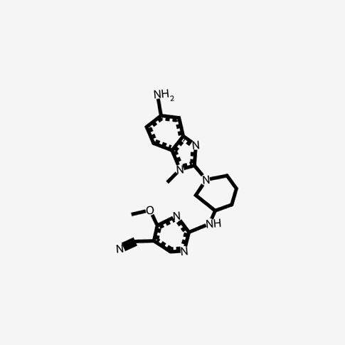 COc1nc(NC2CCCN(c3nc4cc(N)ccc4n3C)C2)ncc1C#N